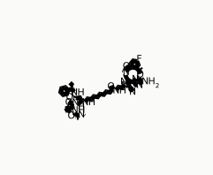 CC[C@@H](NC(=O)[C@@H]1C[C@H](NCCCCCCCCC(=O)NCCn2nc3c(c2C#N)-c2cnc(N)c(n2)O[C@H](C)c2cc(F)ccc2C(=O)N(C)C3)CN1C(=O)[C@@H](NC(=O)[C@H](C)NC)C(C)(C)C)c1ccccc1